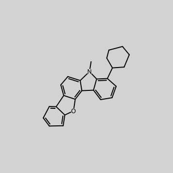 Cn1c2ccc3c4ccccc4oc3c2c2cccc(C3CCCCC3)c21